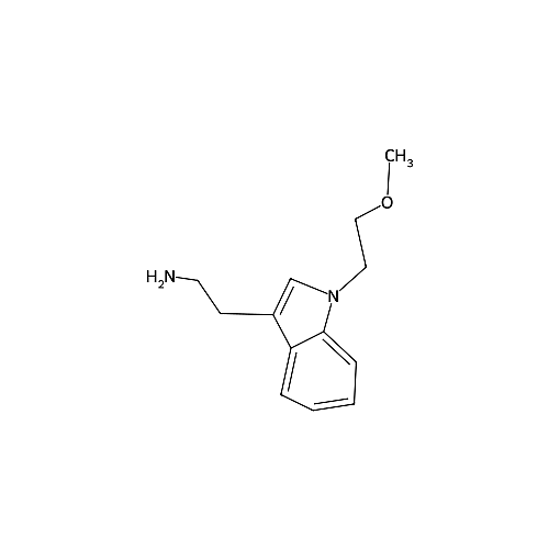 COCCn1cc(CCN)c2ccccc21